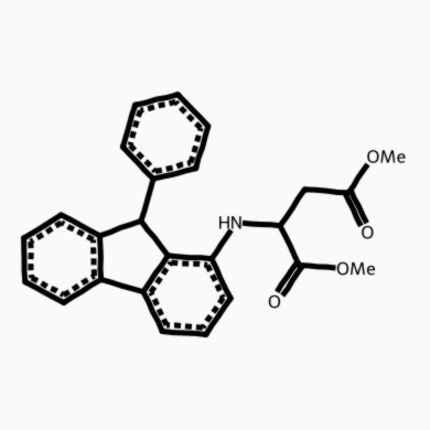 COC(=O)CC(Nc1cccc2c1C(c1ccccc1)c1ccccc1-2)C(=O)OC